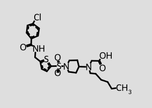 CCCCCCN(CC(=O)O)C1CCN(S(=O)(=O)c2ccc(CNC(=O)c3ccc(Cl)cc3)s2)CC1